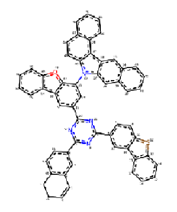 C1=Cc2cc(-c3nc(-c4ccc5sc6ccccc6c5c4)nc(-c4cc(-n5c6cc7ccccc7cc6c6c7ccccc7ccc65)c5oc6ccccc6c5c4)n3)ccc2CC1